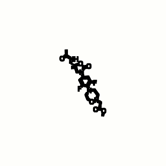 COC(=O)CN1CCN(c2c(F)cc(N3C[C@H](CNC(C)=O)OC3=O)cc2F)CCO1